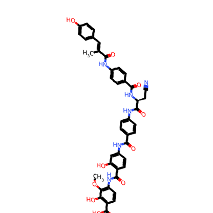 COc1c(NC(=O)c2ccc(NC(=O)c3ccc(NC(=O)[C@H](CC#N)NC(=O)c4ccc(NC(=O)/C(C)=C/c5ccc(O)cc5)cc4)cc3)cc2O)ccc(C(=O)O)c1O